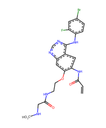 C=CC(=O)Nc1cc2c(Nc3ccc(Br)cc3F)ncnc2cc1OCCNC(=O)CNC(=O)O